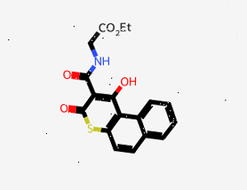 CCOC(=O)CNC(=O)c1c(O)c2c(ccc3ccccc32)sc1=O